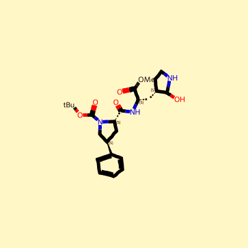 COC(=O)[C@H](C[C@@H]1CCNC1O)NC(=O)[C@@H]1C[C@@H](c2ccccc2)CN1C(=O)OC(C)(C)C